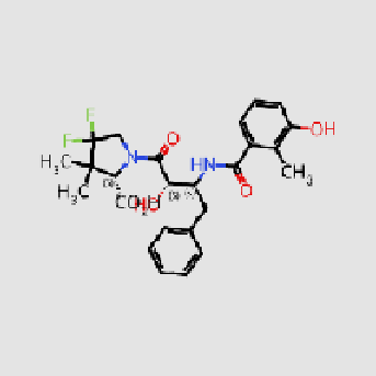 Cc1c(O)cccc1C(=O)N[C@@H](Cc1ccccc1)[C@H](O)C(=O)N1CC(F)(F)C(C)(C)[C@H]1C(=O)O